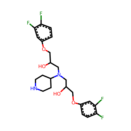 OC(COc1ccc(F)c(F)c1)CN(CC(O)COc1ccc(F)c(F)c1)C1CCNCC1